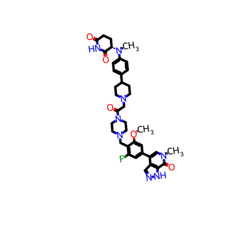 COc1cc(-c2cn(C)c(=O)c3[nH]ncc23)cc(F)c1CN1CCN(C(=O)CN2CCC(c3ccc(N(C)[C@H]4CCC(=O)NC4=O)cc3)CC2)CC1